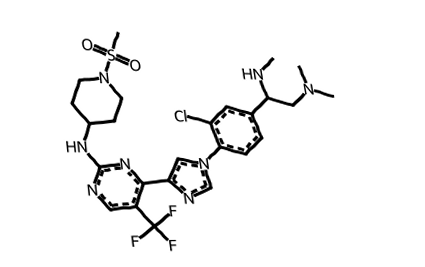 CNC(CN(C)C)c1ccc(-n2cnc(-c3nc(NC4CCN(S(C)(=O)=O)CC4)ncc3C(F)(F)F)c2)c(Cl)c1